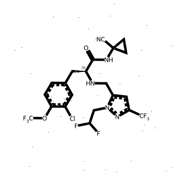 N#CC1(NC(=O)[C@H](Cc2ccc(OC(F)(F)F)c(Cl)c2)NCc2cc(C(F)(F)F)nn2CC(F)F)CC1